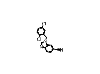 N#Cc1ccc2ncn(Cc3cc(Cl)ccc3Cl)c2c1